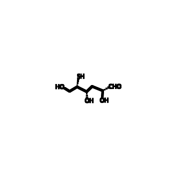 O=C[C@H](O)C[C@H](O)[C@@H](S)CO